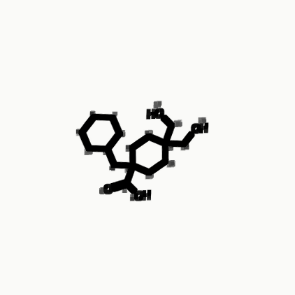 O=C(O)C1(CC2CCCCC2)CCC(CO)(CO)CC1